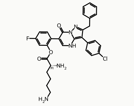 NCCCC[C@@H](N)C(=O)Oc1cc(F)ccc1-c1c[nH]c2c(-c3ccc(Cl)cc3)c(Cc3ccccc3)nn2c1=O